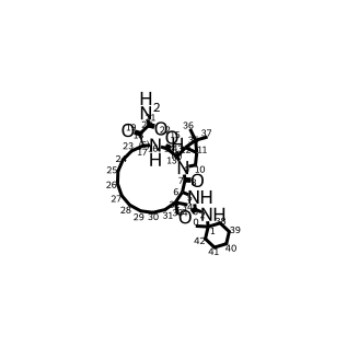 CC1(NC(=O)NC2C(=O)N3CC4C([C@H]3C(=O)N[C@H](C(=O)C(N)=O)CCCCCCCCCC2(C)C)C4(C)C)CCCCC1